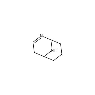 C1=NC2CCCC(C1)N2